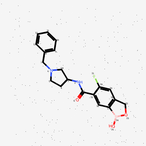 O=C(NC1CCN(Cc2ccccc2)C1)c1cc2c(cc1F)COB2O